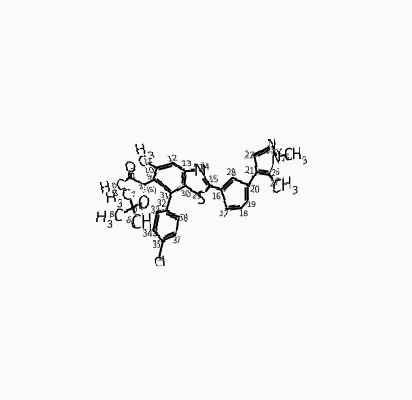 CC(=O)[C@@H](OC(C)(C)C)c1c(C)cc2nc(-c3cccc(-c4cnn(C)c4C)c3)sc2c1-c1ccc(Cl)cc1